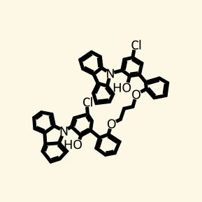 Oc1c(-c2ccccc2OCCCOc2ccccc2-c2cc(Cl)cc(-n3c4ccccc4c4ccccc43)c2O)cc(Cl)cc1-n1c2ccccc2c2ccccc21